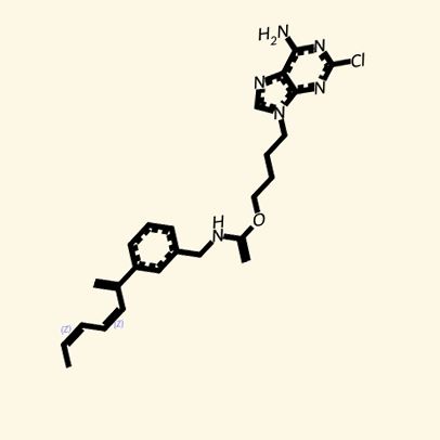 C=C(NCc1cccc(C(=C)/C=C\C=C/C)c1)OCCCCn1cnc2c(N)nc(Cl)nc21